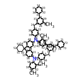 Cc1cc(Cc2ccc(N(c3ccc(C4(c5ccc(N(c6ccc(Cc7cc(C)cc(-c8ccccc8)c7)cc6)c6ccc(C)cc6C)cc5)CCCCC4)cc3)c3ccc(C)cc3C)cc2)cc(-c2ccccc2)c1